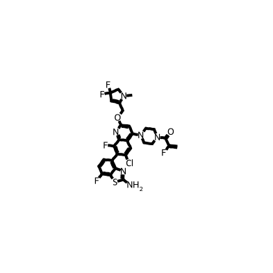 C=C(F)C(=O)N1CCN(c2cc(OCC3=CC(F)(F)CN3C)nc3c(F)c(-c4ccc(F)c5sc(N)nc45)c(Cl)cc23)CC1